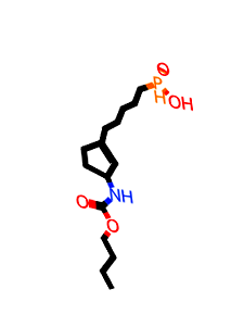 CCCCOC(=O)NC1C=C(CCCCC[PH](=O)O)CC1